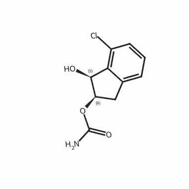 NC(=O)O[C@@H]1Cc2cccc(Cl)c2[C@@H]1O